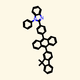 CC1(C)c2ccccc2-c2ccc(-c3c4ccccc4c(-c4ccc(-c5nc6ccccc6n5-c5ccccc5)cc4)c4ccccc34)cc21